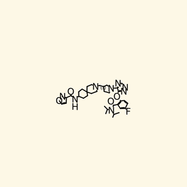 CC(C)N(C(=O)c1cc(F)ccc1Oc1nncnc1N1CC[C@@H](CN2CCC3(CCC(NC(=O)c4ccon4)CC3)CC2)C1)C(C)C